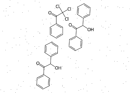 O=C(c1ccccc1)C(Cl)(Cl)Cl.O=C(c1ccccc1)C(O)c1ccccc1.O=C(c1ccccc1)C(O)c1ccccc1